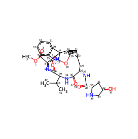 COC(=O)c1nc2oc1C13c4ccccc4NC1Oc1ccc(cc13)C[C@H](NC(=O)[C@@H]1C[C@@H](O)CN1)C(=O)NC2C(C)C